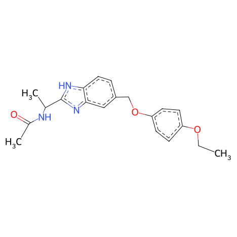 CCOc1ccc(OCc2ccc3[nH]c(C(C)NC(C)=O)nc3c2)cc1